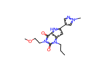 CCCn1c(=O)n(CCOC)c(=O)c2[nH]c(-c3cnn(C)c3)cc21